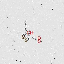 CCCCCCCCC(O)(CCCCCCCC(=O)OCC)c1ccsc1-c1cccs1